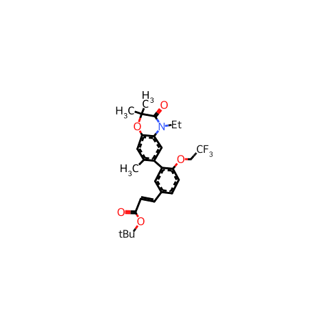 CCN1C(=O)C(C)(C)Oc2cc(C)c(-c3cc(C=CC(=O)OC(C)(C)C)ccc3OCC(F)(F)F)cc21